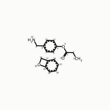 CCC(=O)Oc1ccc(CN)cc1.c1ccc2c(c1)CO2